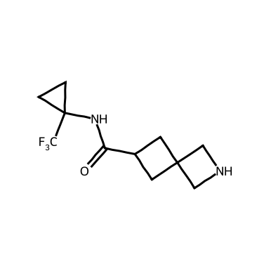 O=C(NC1(C(F)(F)F)CC1)C1CC2(CNC2)C1